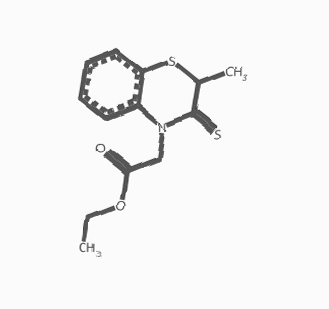 CCOC(=O)CN1C(=S)C(C)Sc2ccccc21